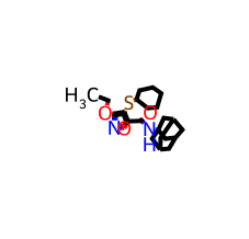 CCOc1noc(C(=O)NC23CC4CC(CC(C4)C2)C3)c1SC1CCCCC1